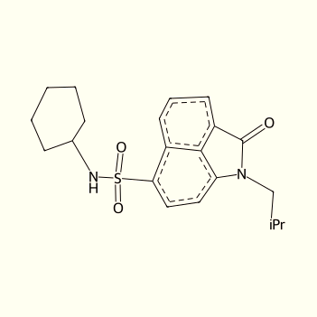 CC(C)CN1C(=O)c2cccc3c(S(=O)(=O)NC4CCCCC4)ccc1c23